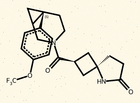 O=C1CC[C@]2(C[C@H](C(=O)N3CC[C@@]4(c5ccc(OC(F)(F)F)cc5)CC4C3)C2)N1